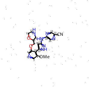 COc1cncc(OCC2CNCCO2)c1-c1cc(Nc2cnc(C#N)cn2)n[nH]1